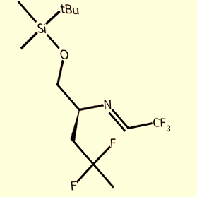 CC(F)(F)C[C@@H](CO[Si](C)(C)C(C)(C)C)N=CC(F)(F)F